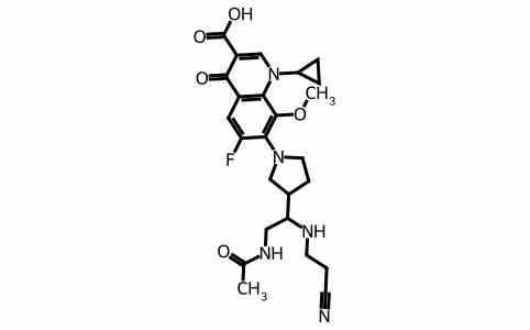 COc1c(N2CCC(C(CNC(C)=O)NCCC#N)C2)c(F)cc2c(=O)c(C(=O)O)cn(C3CC3)c12